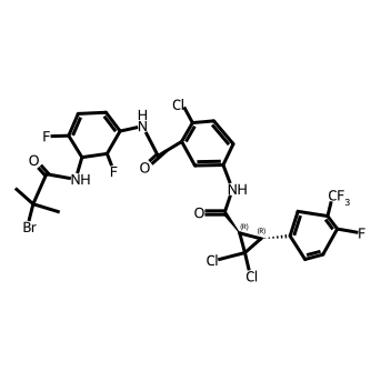 CC(C)(Br)C(=O)NC1C(F)=CC=C(NC(=O)c2cc(NC(=O)[C@H]3[C@H](c4ccc(F)c(C(F)(F)F)c4)C3(Cl)Cl)ccc2Cl)C1F